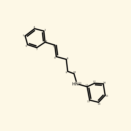 C(=Cc1ccccc1)CCCNc1ccccc1